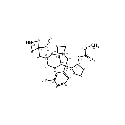 COC(=O)N[C@H]1CCCC1[C@](CN1CCC1)(c1cccc(F)c1)C1CCN(CC2(OC)CNC2)CC1